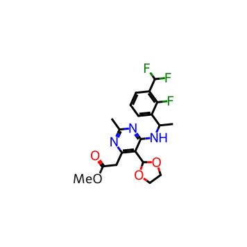 COC(=O)Cc1nc(C)nc(NC(C)c2cccc(C(F)F)c2F)c1C1OCCO1